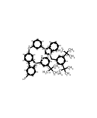 CC(C)(C)c1cc(C[n+]2cn(-c3cccc(Oc4ccc5c6cc(F)ccc6n(-c6cc(C(C)(C)C)ccn6)c5c4)c3)c3ccccc32)cc(C(C)(C)C)c1